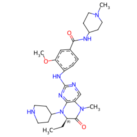 CC[C@@H]1C(=O)N(C)c2cnc(Nc3ccc(C(=O)NC4CCN(C)CC4)cc3OC)nc2N1C1CCNCC1